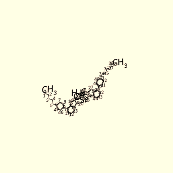 CCCCCCc1ccc(-c2cccc3c2C=C(C)C3C[SiH]([Zr])CC2C(C)=Cc3c(-c4ccc(CCCCCC)cc4)cccc32)cc1